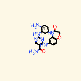 NC(=O)c1cnc(N[C@@H]2CCCC[C@@H]2N)nc1Nc1ccc2c(c1)NC(=O)CO2